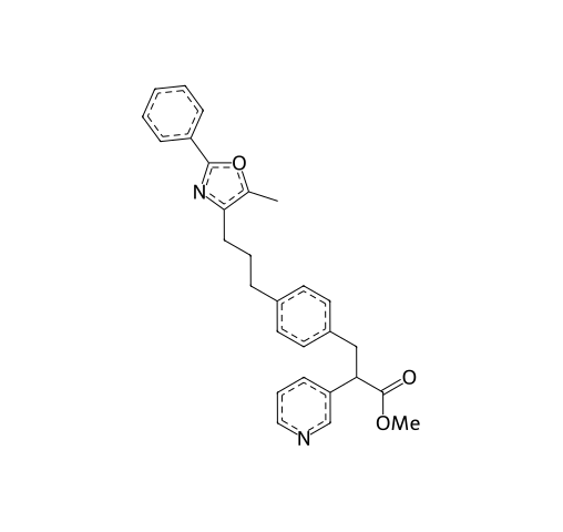 COC(=O)C(Cc1ccc(CCCc2nc(-c3ccccc3)oc2C)cc1)c1cccnc1